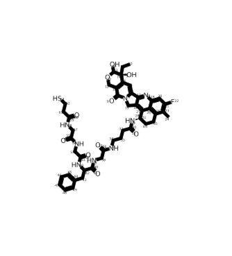 CC[C@]1(O)c2cc3n(c(=O)c2COC1O)Cc1c-3nc2cc(F)c(C)c3c2c1[C@@H](NC(=O)CCCNC(=O)CNC(=O)C(Cc1ccccc1)NC(=O)CNC(=O)CNC(=O)CCS)CC3